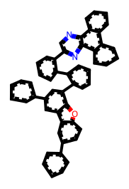 c1ccc(-c2ccc3oc4c(-c5ccccc5-c5ccccc5-c5cnc6c7ccccc7c7ccccc7c6n5)cc(-c5ccccc5)cc4c3c2)cc1